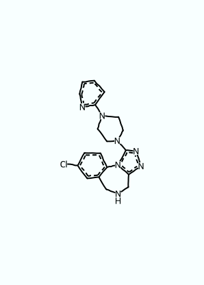 Clc1ccc2c(c1)CNCc1nnc(N3CCN(c4ccccn4)CC3)n1-2